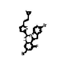 Fc1cc(Br)cc2c1C1Cc3cc(Br)ccc3N1C(c1ccc(CCC3CC3)s1)O2